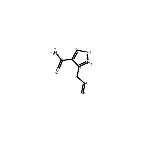 C=CCc1n[nH]cc1C(N)=O